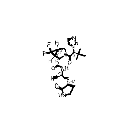 CC(C)(C)[C@@H](C(=O)N1C[C@H]2[C@@H]([C@H]1C(=O)N[C@H](C#N)C[C@@H]1CCNC1=O)C2(F)F)n1ccnn1